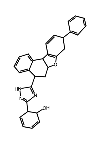 OC1C=CC=CC1c1n[nH]c(C2CC3OC4=C(C=CC(c5ccccc5)C4)C3c3ccccc32)n1